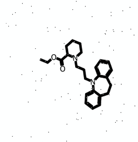 CCOC(=O)C1CCCCN1CCCN1c2ccccc2CCc2ccccc21